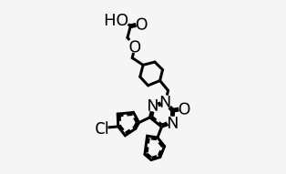 O=C(O)COCC1CCC(Cn2nc(-c3ccc(Cl)cc3)c(-c3ccccc3)nc2=O)CC1